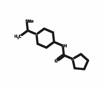 CSC(C)N1CCC(NC(=O)N2CCCC2)CC1